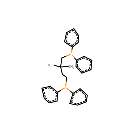 CC(C)(CCP(c1ccccc1)c1ccccc1)CP(c1ccccc1)c1ccccc1